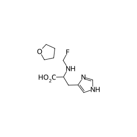 C1CCOC1.O=C(O)C(Cc1c[nH]cn1)NCF